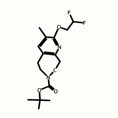 Cc1cc2c(nc1OCC(F)F)CCN(C(=O)OC(C)(C)C)CC2